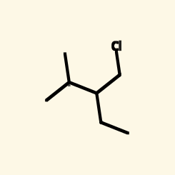 CCC(CCl)[C](C)C